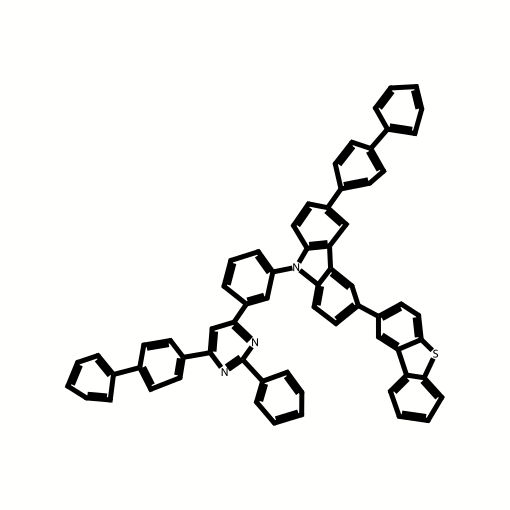 c1ccc(-c2ccc(-c3ccc4c(c3)c3cc(-c5ccc6sc7ccccc7c6c5)ccc3n4-c3cccc(-c4cc(-c5ccc(-c6ccccc6)cc5)nc(-c5ccccc5)n4)c3)cc2)cc1